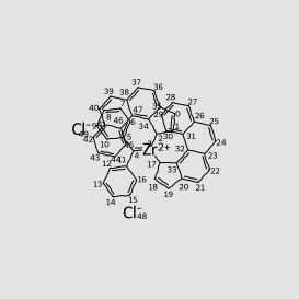 C1=C[CH]([Zr+2](=[C](c2ccccc2)c2ccccc2)[CH]2C=Cc3ccc4ccc5ccccc5c4c32)c2c1ccc1ccc3ccccc3c21.[Cl-].[Cl-]